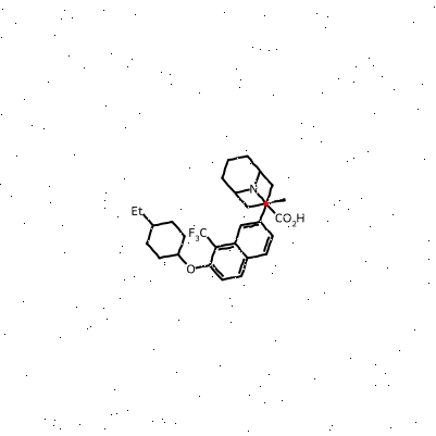 CCC1CCC(Oc2ccc3ccc([C@H](C)N4C5CCCC4CC(C(=O)O)C5)cc3c2C(F)(F)F)CC1